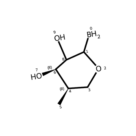 BC1OC[C@@H](C)[C@@H](O)C1O